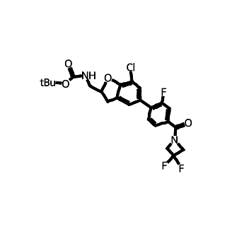 CC(C)(C)OC(=O)NCC1Cc2cc(-c3ccc(C(=O)N4CC(F)(F)C4)cc3F)cc(Cl)c2O1